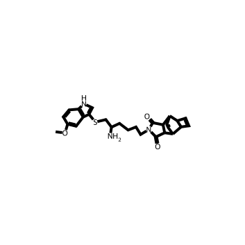 COc1ccc2[nH]cc(SCC(N)CCCCN3C(=O)C4C5C=CC(C6C=CC65)C4C3=O)c2c1